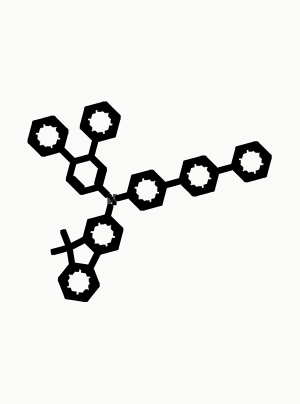 CC1(C)c2ccccc2-c2ccc(N(C3=CC(c4ccccc4)C(c4ccccc4)C=C3)c3ccc(-c4ccc(-c5ccccc5)cc4)cc3)cc21